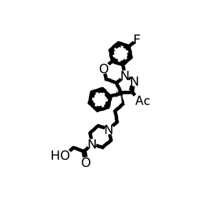 CC(=O)C1=NN2c3cc(F)ccc3OCC2[C@@]1(CCCN1CCN(C(=O)CO)CC1)c1ccccc1